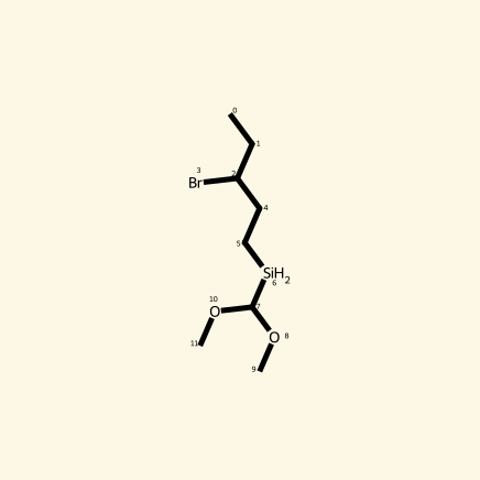 CCC(Br)CC[SiH2]C(OC)OC